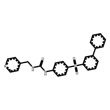 O=C(NCc1ccncc1)Nc1ccc(S(=O)(=O)c2cccc(-c3ccccc3)c2)cc1